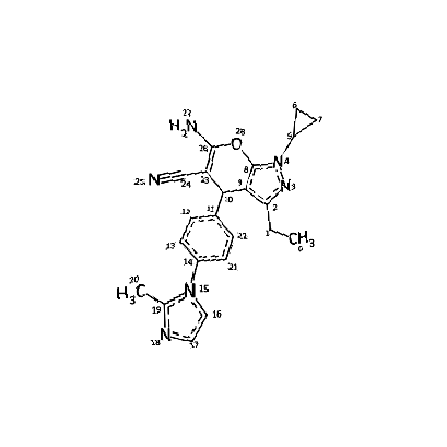 CCc1nn(C2CC2)c2c1C(c1ccc(-n3ccnc3C)cc1)C(C#N)=C(N)O2